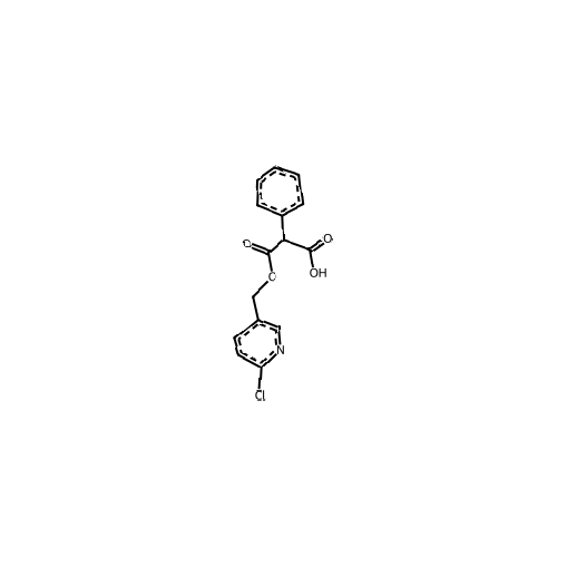 O=C(O)C(C(=O)OCc1ccc(Cl)nc1)c1ccccc1